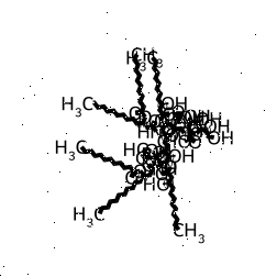 CCCCCCCCCCCC(=O)O[C@H](CCCCCCCCCCC)CC(=O)NC1[C@@H](OP(=O)(O)O)OC(CO[C@@H]2OC(CO[C@]3(C(=O)O)C[C@@H](O)[C@@H](O)C([C@H](O)CO)O3)[C@@H](OP(=O)(O)O)[C@H](OC(=O)C[C@H](O)CCCCCCCCC)C2NC(=O)C[C@@H](CCCCCCCCCCC)OC(=O)CCCCCCCCCCC)[C@@H](O)[C@@H]1OC(=O)C[C@H](O)CCCCCCCCC